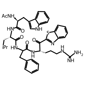 CC(=O)N[C@@H](Cc1c[nH]c2ccccc12)C(=O)N[C@@H](CC(C)C)C(=O)NC(Cc1ccccc1)C(=O)N[C@@H](CCCNC(=N)N)C(=O)c1nc2ccccc2s1